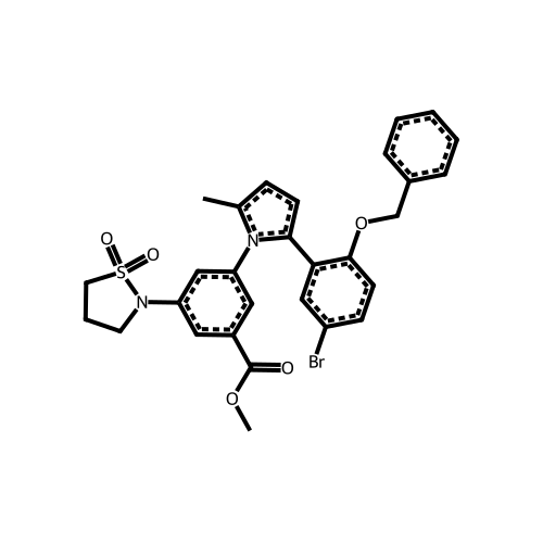 COC(=O)c1cc(N2CCCS2(=O)=O)cc(-n2c(C)ccc2-c2cc(Br)ccc2OCc2ccccc2)c1